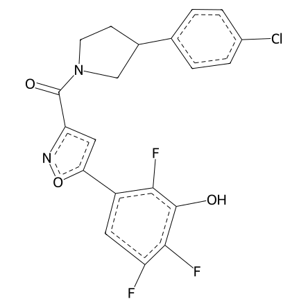 O=C(c1cc(-c2cc(F)c(F)c(O)c2F)on1)N1CCC(c2ccc(Cl)cc2)C1